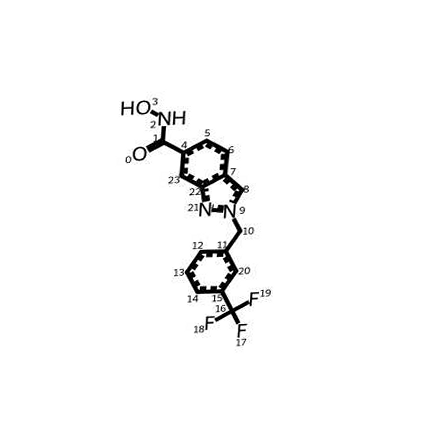 O=C(NO)c1ccc2cn(Cc3cccc(C(F)(F)F)c3)nc2c1